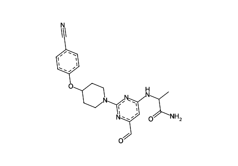 CC(Nc1cc(C=O)nc(N2CCC(Oc3ccc(C#N)cc3)CC2)n1)C(N)=O